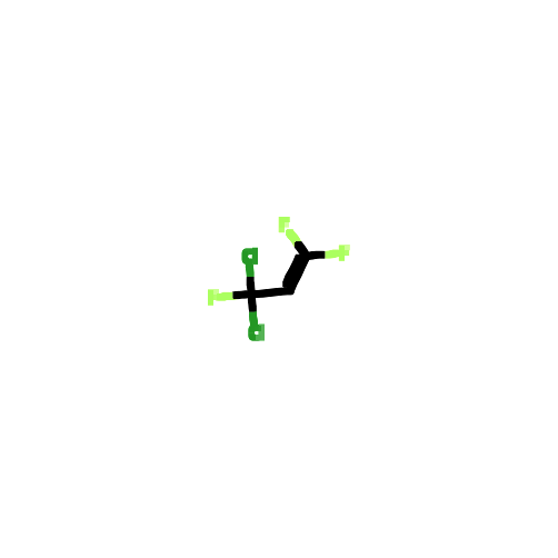 FC(F)=CC(F)(Cl)Cl